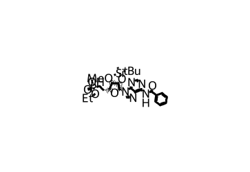 CCOP(=O)(O)CC[C@H]1O[C@@H](n2cnc3c(NC(=O)c4ccccc4)ncnc32)[C@H](O[Si](C)(C)C(C)(C)C)[C@@H]1OC